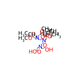 CC(C)(C)OC(=O)CN(CCN(CC(=O)O)CC(=O)O)CCN(CC(=O)OC(C)(C)C)CC(=O)OC(C)(C)C